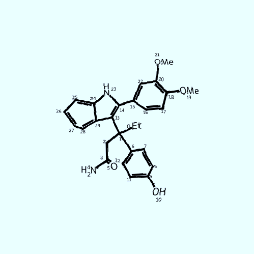 CCC(CC(N)=O)(c1ccc(O)cc1)c1c(-c2ccc(OC)c(OC)c2)[nH]c2ccccc12